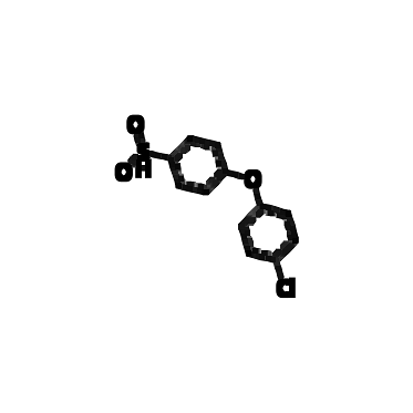 O=[SH](=O)c1ccc(Oc2ccc(Cl)cc2)cc1